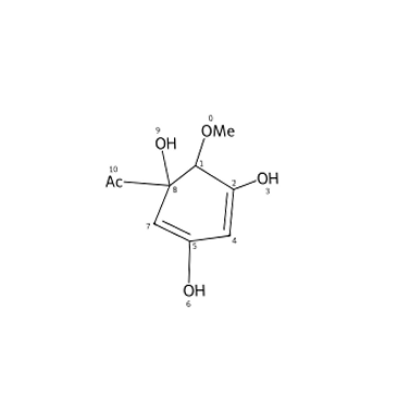 COC1C(O)=CC(O)=CC1(O)C(C)=O